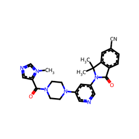 Cn1cncc1C(=O)N1CCN(c2cncc(N3C(=O)c4ccc(C#N)cc4C3(C)C)c2)CC1